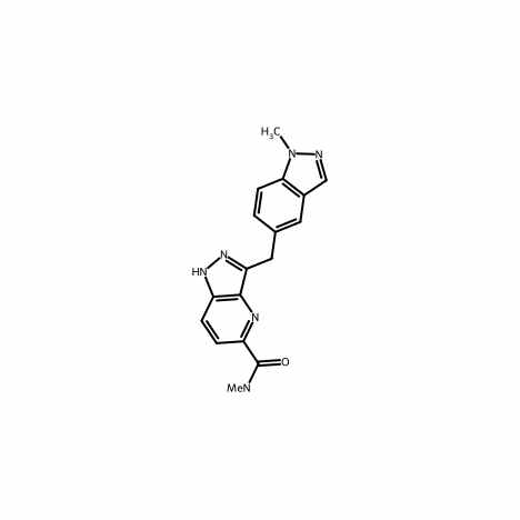 CNC(=O)c1ccc2[nH]nc(Cc3ccc4c(cnn4C)c3)c2n1